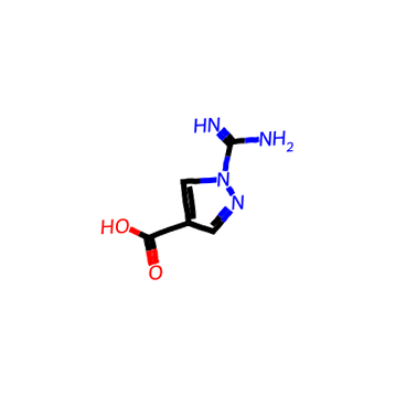 N=C(N)n1cc(C(=O)O)cn1